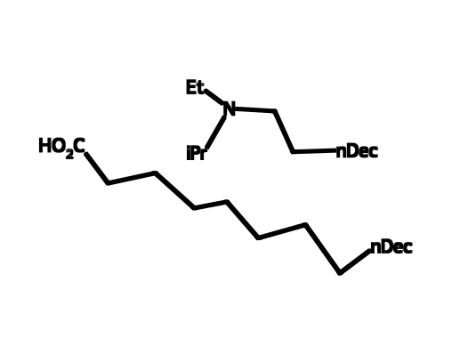 CCCCCCCCCCCCCCCCCC(=O)O.CCCCCCCCCCCCN(CC)C(C)C